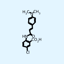 CN(C)c1ccc(C=CC(=O)Nc2ccc(Cl)cc2C(=O)O)cc1